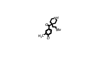 Cc1cc(C(=O)C2(CCC(C)(C)C)CCNCC2)ccc1Cl